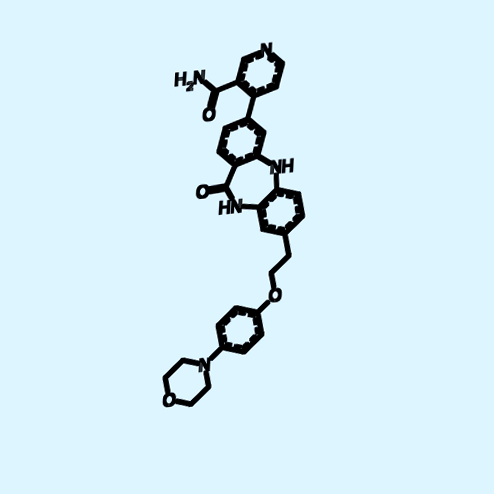 NC(=O)c1cnccc1-c1ccc2c(c1)Nc1ccc(CCOc3ccc(N4CCOCC4)cc3)cc1NC2=O